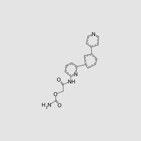 NC(=O)OCC(=O)Nc1cccc(-c2cccc(-c3ccncc3)c2)n1